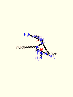 CCCCCCCC/C=C/CCCCCCCC[N+](C)(CCCC[N+](C)(CCCCCCCC/C=C/CCCCCCCC)CC(C)CNC(=O)C(CCCNCCCN)NCCCN)CC(C)CNC(=O)C(CCCNCCCN)NCCCC